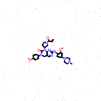 C=CC(=O)N1CC[C@H](N2C(=O)N(c3ccc(OC)cc3)Cc3cnc(Nc4ccc(N5CCN(C)CC5)cc4OC)nc32)C1